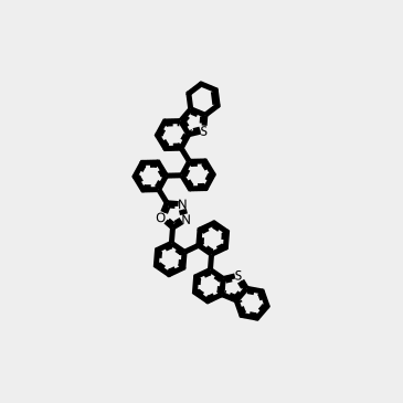 C1=Cc2sc3c(-c4ccccc4-c4ccccc4-c4nnc(-c5ccccc5-c5ccccc5-c5cccc6c5sc5ccccc56)o4)cccc3c2CC1